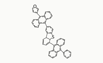 C1=CC2c3cc(-c4c5ccccc5c(-c5ccoc5)c5ccccc45)ccc3SC2C(c2c3ccccc3c(-c3ccccc3)c3ccccc23)=C1